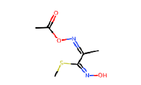 CSC(=N/O)/C(C)=N\OC(C)=O